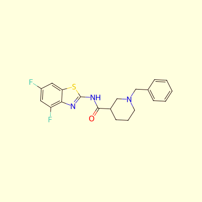 O=C(Nc1nc2c(F)cc(F)cc2s1)C1CCCN(Cc2ccccc2)C1